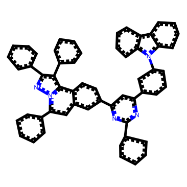 c1ccc(-c2nc(-c3cccc(-n4c5ccccc5c5ccccc54)c3)cc(-c3ccc4c(c3)cc(-c3ccccc3)n3nc(-c5ccccc5)c(-c5ccccc5)c43)n2)cc1